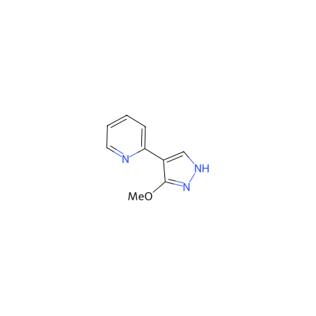 COc1n[nH]cc1-c1ccccn1